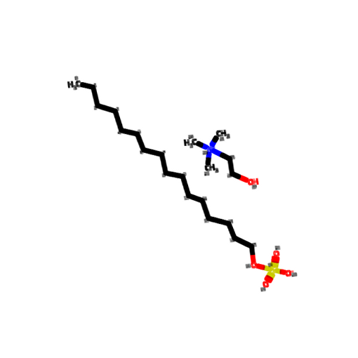 CCCCCCCCCCCCCCCCOS(=O)(=O)[O-].C[N+](C)(C)CCO